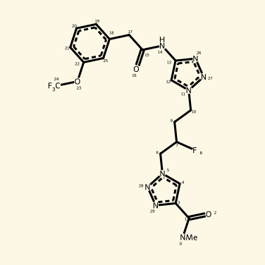 CNC(=O)c1cn(CC(F)CCn2cc(NC(=O)Cc3cccc(OC(F)(F)F)c3)nn2)nn1